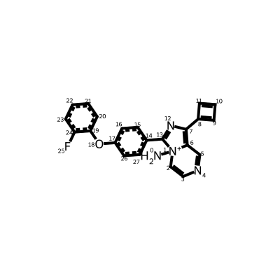 N[N+]12C=CN=CC1=C(C1=CC=C1)N=C2c1ccc(Oc2ccccc2F)cc1